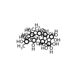 Cc1cc2c(c(O)c1O)C(C)(C)c1cc(N(c3ccc(O)c4c3-c3cc(O)cc(O)c3C43c4ccc(O)c(O)c4-c4c(O)c(O)c(O)c(O)c43)c3c(O)c(O)cc4c3-c3cc(O)c(O)c(O)c3C4(C)C)c(O)c(O)c1-2